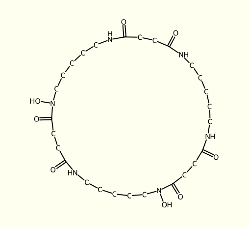 O=C1CCC(=O)NCCCCCN(O)C(=O)CCC(=O)NCCCCCN(O)C(=O)CCC(=O)NCCCCCN1